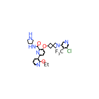 CCOc1ncccc1-c1ccc(OC2CC3(C2)CN(c2cncc(Cl)c2C(F)(F)F)C3)c(C(=O)N[C@@H]2CCNC2)n1